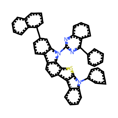 c1ccc(-c2nc(-n3c4cc(-c5cccc6ccccc56)ccc4c4ccc5c(sc6c5c5ccccc5n6-c5ccccc5)c43)nc3ccccc23)cc1